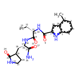 Cc1cccc2[nH]c(C(=O)N[C@@H](CC(C)C)C(=O)N[C@@H](CC3CCNC3=O)C(N)=O)cc12